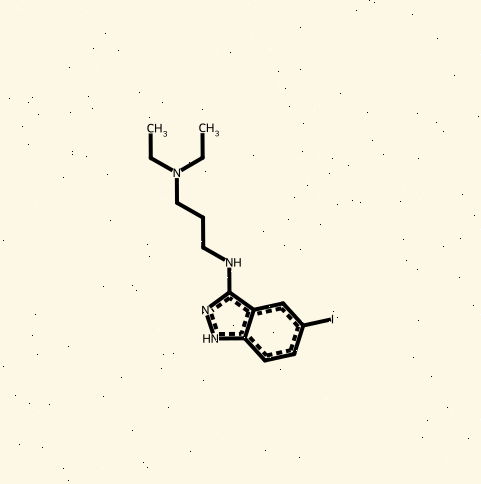 CCN(CC)CCCNc1n[nH]c2ccc(I)cc12